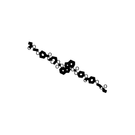 C=CC(=O)OCCOC1CCC(C(=O)OC2CCC(OC(=O)Oc3cccc4c3C3(CC4)CCc4cccc(OC(=O)OC5CCC(OC(=O)C6CCC(OCCOC(=O)C=C)CC6)CC5)c43)CC2)CC1